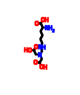 N[C@@H](CCCCNCN(CC(=O)O)CC(=O)O)C(=O)O